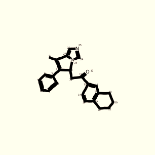 CC1=C(c2ccccc2)C(CC(=O)c2ccc3c(c2)CCCC3)n2cncc21